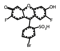 O=c1cc2oc3cc(O)c(F)cc3c(-c3ccc(Br)cc3S(=O)(=O)O)c-2cc1F